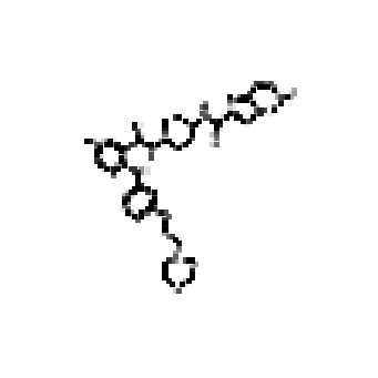 O=C(NC1CCC(NC(=O)c2cc(F)cnc2Nc2cccc(OCCN3CCOCC3)c2)CC1)C1=C[N+]2CN(F)C=CC2=N1